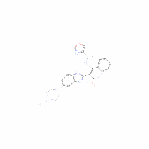 C[C@H](NC1=C(c2nc3ccc(N4CCN(C)CC4)cc3[nH]2)C(O)Nc2ccccc21)c1cocn1